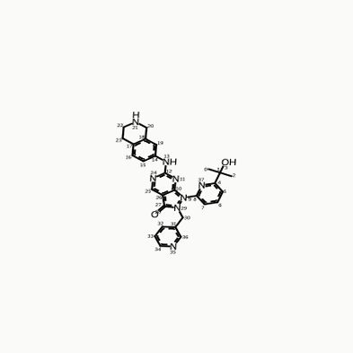 CC(C)(O)c1cccc(-n2c3nc(Nc4ccc5c(c4)CNCC5)ncc3c(=O)n2Cc2cccnc2)n1